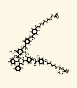 Cc1cc(OC(=O)c2ccc(OCCCCCCOCC3(C)CO3)cc2F)ccc1C(=O)OC(c1ccccc1)C(OC(=O)c1ccc(OC(=O)c2ccc(OC(=O)c3ccc(OCCCCCCOCC4CO4)cc3)cc2F)cc1C)c1ccccc1